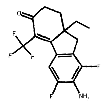 CCC12CCC(=O)C(C(F)(F)F)=C1c1cc(F)c(N)c(F)c1C2